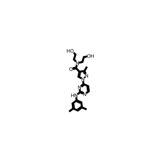 Cc1cc(C)cc(Nc2nccc(-n3cc(C(=O)N(CCO)CCO)c(C)n3)n2)c1